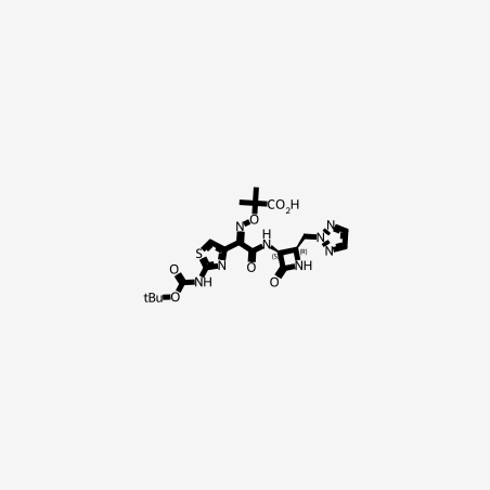 CC(C)(C)OC(=O)Nc1nc(C(=NOC(C)(C)C(=O)O)C(=O)N[C@@H]2C(=O)N[C@@H]2Cn2nccn2)cs1